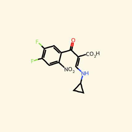 O=C(O)C(=CNC1CC1)C(=O)c1cc(F)c(F)cc1[N+](=O)[O-]